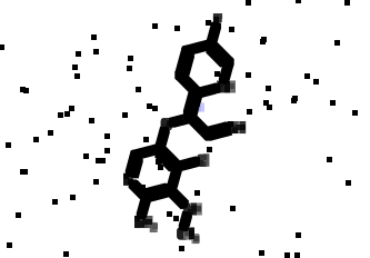 CNc1c(N)ncc(O/C(C=N)=C2\C=CC(F)=CN2)c1Cl